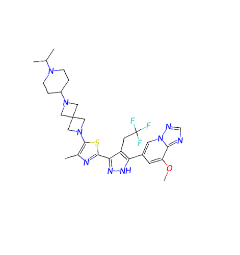 COc1cc(-c2[nH]nc(-c3nc(C)c(N4CC5(C4)CN(C4CCN(C(C)C)CC4)C5)s3)c2CC(F)(F)F)cn2ncnc12